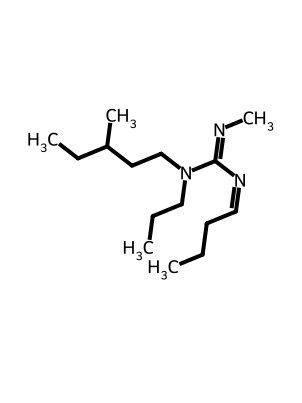 CCC/C=N\C(=N/C)N(CCC)CCC(C)CC